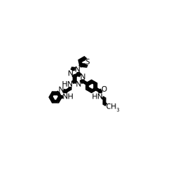 CCCNC(=O)c1ccc(-c2nc(NCc3nc4ccccc4[nH]3)c3ncn(-c4ccsc4)c3n2)cc1